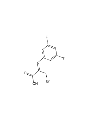 O=C(O)/C(=C/c1cc(F)cc(F)c1)CBr